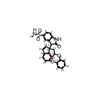 CNS(=O)(=O)c1ccc2c(c1)C(C1(CC3COc4ccccc4O3)C=Cc3ccccc31)C(=O)N2